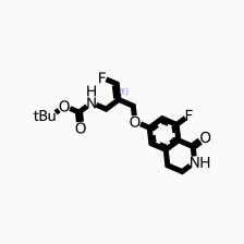 CC(C)(C)OC(=O)NC/C(=C\F)COc1cc(F)c2c(c1)CCNC2=O